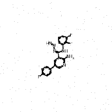 N=N/N=C(\Nc1cccc(F)c1F)c1cc(-c2ccc(F)cc2)cnc1N